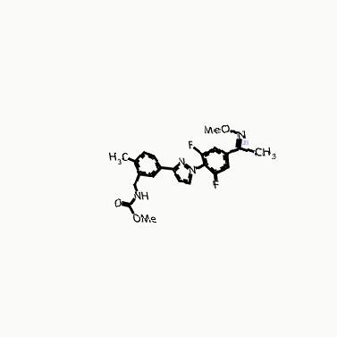 CO/N=C(/C)c1cc(F)c(-n2ccc(-c3ccc(C)c(CNC(=O)OC)c3)n2)c(F)c1